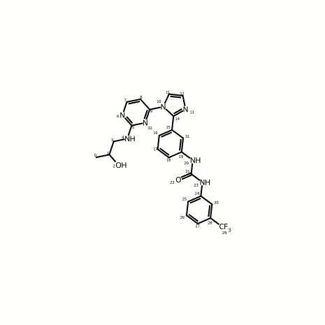 CC(O)CNc1nccc(-n2ccnc2-c2cccc(NC(=O)Nc3cccc(C(F)(F)F)c3)c2)n1